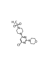 CS(=O)(=O)N1CCN(c2cc(Cl)nc(N3CCOCC3)n2)CC1